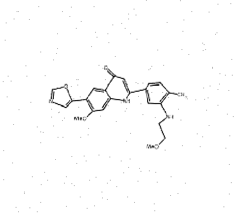 COCCNc1cc(-c2cc(=O)c3cc(-c4cnco4)c(OC)cc3[nH]2)ccc1C